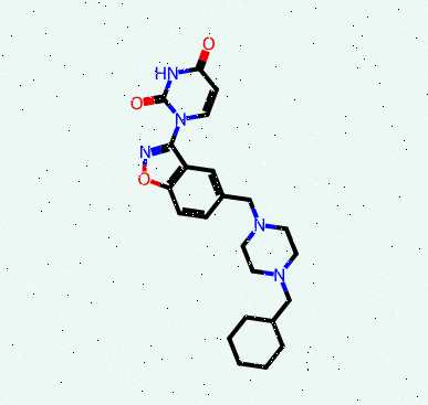 O=c1ccn(-c2noc3ccc(CN4CCN(CC5CCCCC5)CC4)cc23)c(=O)[nH]1